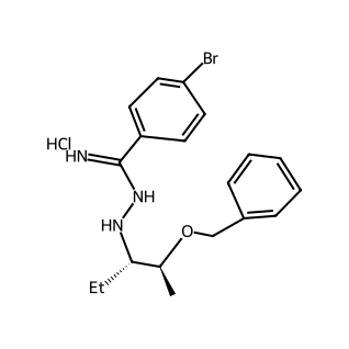 CC[C@H](NNC(=N)c1ccc(Br)cc1)[C@H](C)OCc1ccccc1.Cl